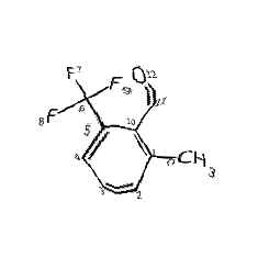 Cc1cccc(C(F)(F)F)c1C=O